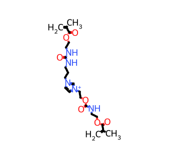 C=C(C)C(=O)OCCNC(=O)NCCCn1cc[n+](CCOC(=O)NCCOC(=O)C(=C)C)c1